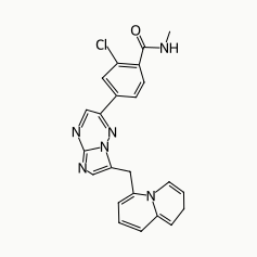 CNC(=O)c1ccc(-c2cnc3ncc(CC4=CC=CC5=CCC=CN54)n3n2)cc1Cl